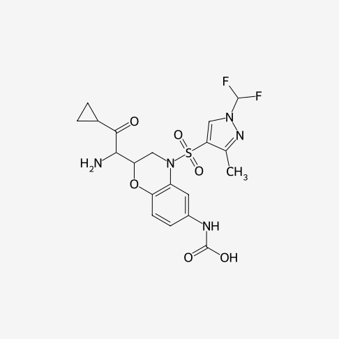 Cc1nn(C(F)F)cc1S(=O)(=O)N1CC(C(N)C(=O)C2CC2)Oc2ccc(NC(=O)O)cc21